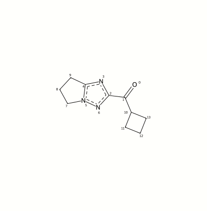 O=C(c1nc2n(n1)CCC2)C1CCC1